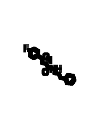 O=C(NCCCc1ccccc1)c1cc(-c2ccc(F)cc2)on1